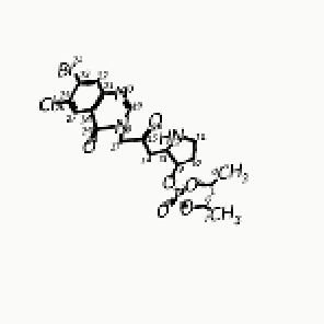 CCOP(=O)(OCC)OC1CCNC1CC(=O)Cn1cnc2cc(Br)c(Cl)cc2c1=O